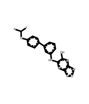 Oc1nc2nonc2nc1Nc1cccc(-c2ccc(OC(F)F)cc2)c1